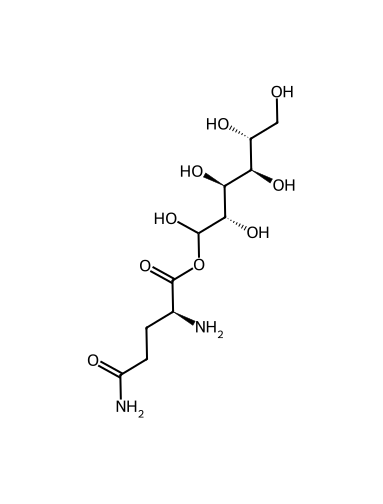 NC(=O)CC[C@H](N)C(=O)OC(O)[C@@H](O)[C@@H](O)[C@H](O)[C@H](O)CO